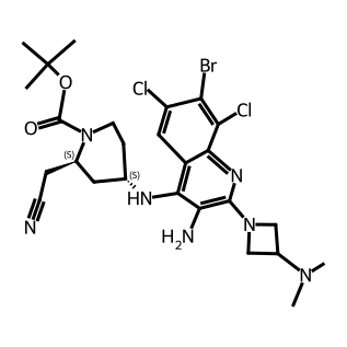 CN(C)C1CN(c2nc3c(Cl)c(Br)c(Cl)cc3c(N[C@H]3CCN(C(=O)OC(C)(C)C)[C@H](CC#N)C3)c2N)C1